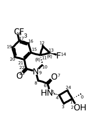 C[C@]1(O)C[C@H](NC(=O)CN2C[C@@]3(C[C@H]3F)c3cc(C(F)(F)F)ccc3C2=O)C1